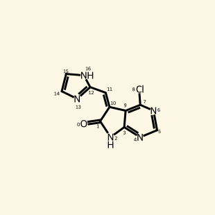 O=C1Nc2ncnc(Cl)c2C1=Cc1ncc[nH]1